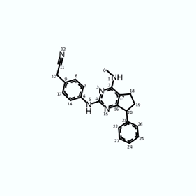 CNc1nc(Nc2ccc(CC#N)cc2)nc2c1CCC2c1ccccc1